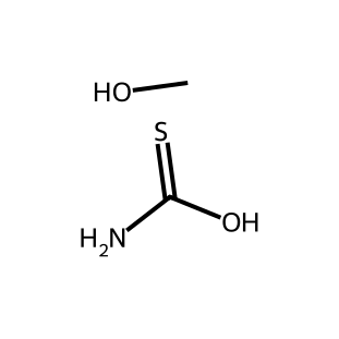 CO.NC(O)=S